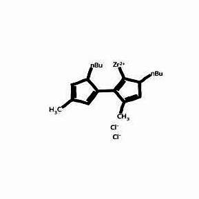 CCCCC1C=C(C)C=C1C1=[C]([Zr+2])C(CCCC)C=C1C.[Cl-].[Cl-]